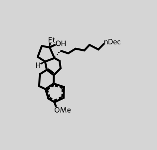 CCCCCCCCCCCCCCCC[C@]12CCC3=C(CCc4cc(OC)ccc43)[C@@H]1CC[C@@]2(O)CC